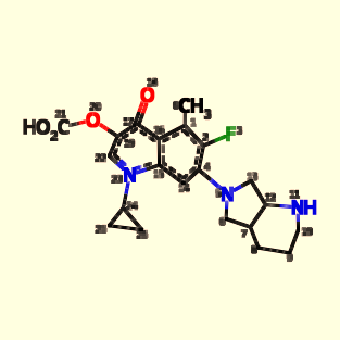 Cc1c(F)c(N2CC3CCCNC3C2)cc2c1c(=O)c(OC(=O)O)cn2C1CC1